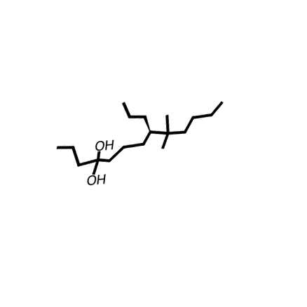 CCCCC(C)(C)[C@H](CCC)CCCC(O)(O)CCC